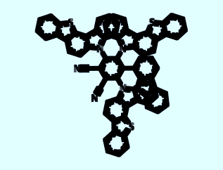 N#Cc1c(C#N)c(-n2c3ccccc3c3c4sc5ccccc5c4ccc32)c(-n2c3ccccc3c3c4sc5ccccc5c4ccc32)c(-c2cccc3c2oc2ccccc23)c1-n1c2ccccc2c2c3sc4ccccc4c3ccc21